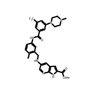 COC(=O)c1cc2cc(NCc3cc(NC(=O)c4cc(N5CCN(C)CC5)cc(C(F)(F)F)c4)ccc3C)cnc2[nH]1